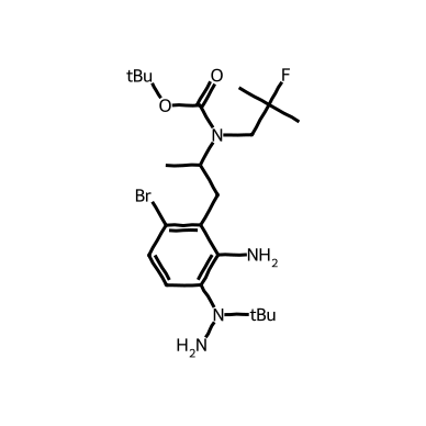 CC(Cc1c(Br)ccc(N(N)C(C)(C)C)c1N)N(CC(C)(C)F)C(=O)OC(C)(C)C